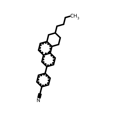 CCCCC1CCc2c(ccc3cc(-c4ccc(C#N)cc4)ccc23)C1